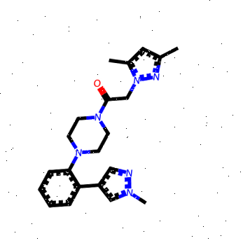 Cc1cc(C)n(CC(=O)N2CCN(c3ccccc3-c3cnn(C)c3)CC2)n1